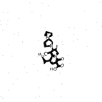 Cc1c(N2CCC(n3cccc3)C2)c(F)cn2c(=O)c(C(=O)O)cc(C3CC3)c12